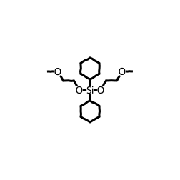 COCCO[Si](OCCOC)(C1CCCCC1)C1CCCCC1